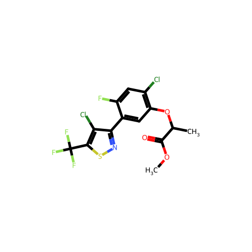 COC(=O)C(C)Oc1cc(-c2nsc(C(F)(F)F)c2Cl)c(F)cc1Cl